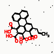 C=CCc1cc2c3cccc4cccc(c5c(C(=O)O)c(C(=O)O)c(C(=O)O)c(c1C(=O)O)c25)c43